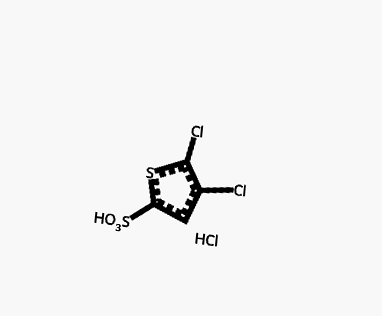 Cl.O=S(=O)(O)c1cc(Cl)c(Cl)s1